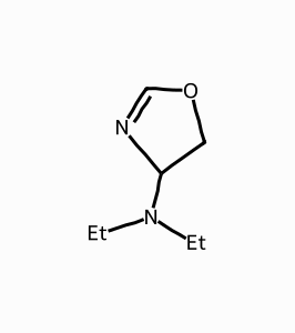 CCN(CC)C1COC=N1